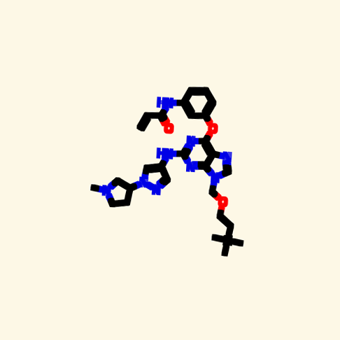 C=CC(=O)Nc1cccc(Oc2nc(Nc3cnn(C4CCN(C)C4)c3)nc3c2ncn3COCC[Si](C)(C)C)c1